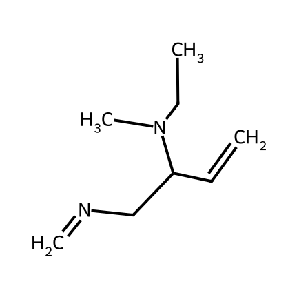 C=CC(CN=C)N(C)CC